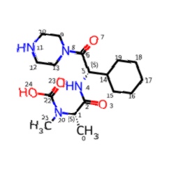 C[C@@H](C(=O)N[C@H](C(=O)N1CCNCC1)C1CCCCC1)N(C)C(=O)O